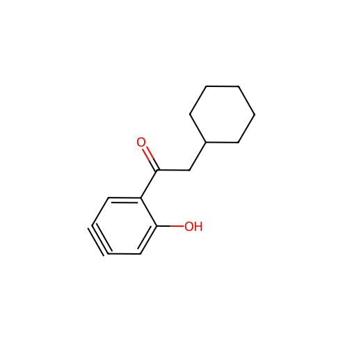 O=C(CC1CCCCC1)c1cc#ccc1O